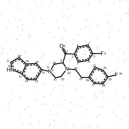 O=C(c1ccc(F)cc1)C1C[N+](c2ccc3[nH]ccc3c2)CCN1CCc1ccc(F)cc1